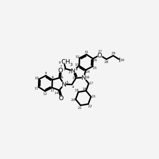 CC[n+]1c(CN2C(=O)c3ccccc3C2=O)n(CC2CCCCC2)c2cc(OCCI)ccc21